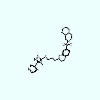 Cn1c(SCCCN2CCc3ccc(S(=O)(=O)N4CCC5CCCCC5C4)cc3C2)nnc1-c1cnccn1